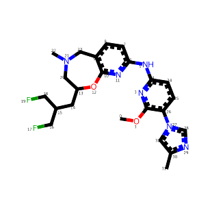 COc1nc(Nc2ccc3c(n2)OC(CC(CF)CF)CN(C)C3)ccc1-n1cnc(C)c1